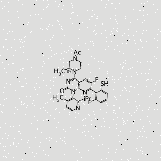 CC(=O)N1CCN(c2nc(=O)n(-c3c(C)ccnc3C(C)C)c3nc(-c4c(F)cccc4S)c(F)cc23)[C@@H](C)C1